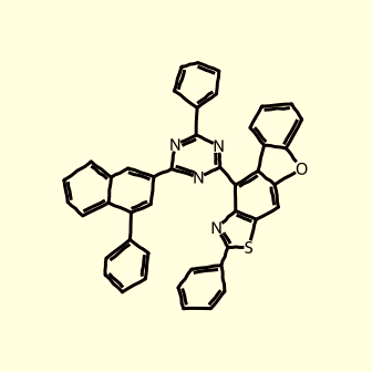 c1ccc(-c2nc(-c3cc(-c4ccccc4)c4ccccc4c3)nc(-c3c4nc(-c5ccccc5)sc4cc4oc5ccccc5c34)n2)cc1